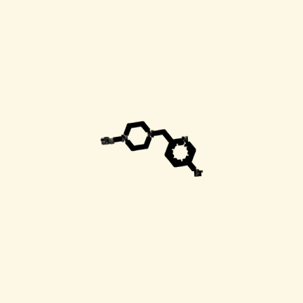 CC(C)(C)N1CCN(Cc2ccc(Br)cn2)CC1